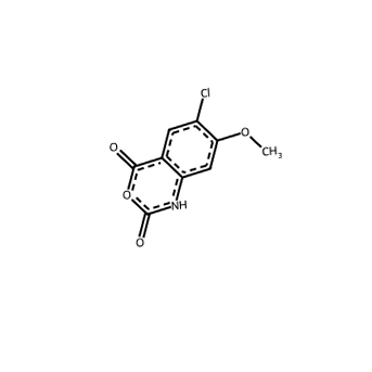 COc1cc2[nH]c(=O)oc(=O)c2cc1Cl